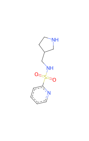 O=S(=O)(NCC1CCNC1)c1ccccn1